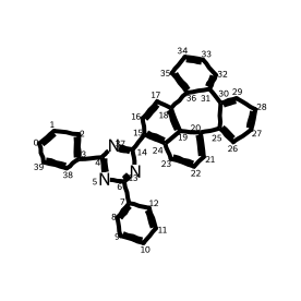 c1ccc(-c2nc(-c3ccccc3)nc(-c3ccc4c5c(cccc35)-c3ccccc3-c3ccccc3-4)n2)cc1